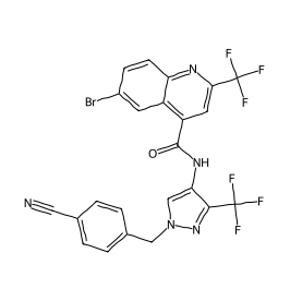 N#Cc1ccc(Cn2cc(NC(=O)c3cc(C(F)(F)F)nc4ccc(Br)cc34)c(C(F)(F)F)n2)cc1